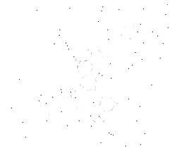 Cc1c(-c2cc3cc(NC(=O)OC4CC(C)(O)C4)ncc3c(NC(=O)OC(C)(C)C)c2F)cnc2c1N(C(=O)O)CCO2